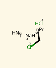 CCCCCl.Cl.[NaH].[NaH]